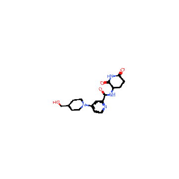 O=C1CCC(NC(=O)c2cc(N3CCC(CO)CC3)ccn2)C(=O)N1